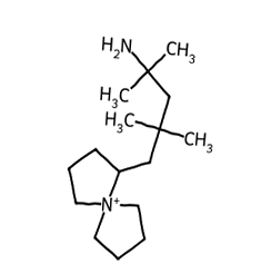 CC(C)(N)CC(C)(C)CC1CCC[N+]12CCCC2